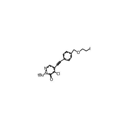 CC(C)(C)n1ncc(C#Cc2ccc(COCCI)cc2)c(Cl)c1=O